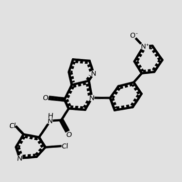 O=C(Nc1c(Cl)cncc1Cl)c1cn(-c2cccc(-c3ccc[n+]([O-])c3)c2)c2ncccc2c1=O